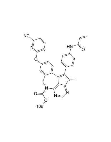 C=CC(=O)Nc1ccc(-c2c3c4c(ncnc4n2C)N(C(=O)OC(C)(C)C)Cc2cc(Oc4nccc(C#N)n4)ccc2-3)cc1